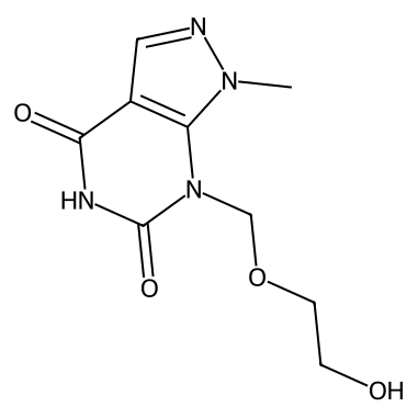 Cn1ncc2c(=O)[nH]c(=O)n(COCCO)c21